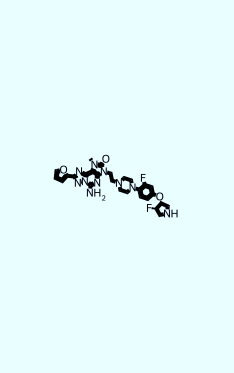 Cn1c(=O)n(CCN2CCN(c3ccc(O[C@@H]4CNC[C@H]4F)cc3F)CC2)c2nc(N)n3nc(-c4ccco4)nc3c21